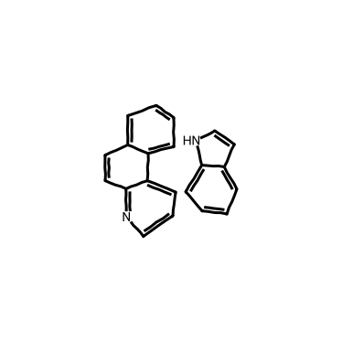 c1ccc2[nH]ccc2c1.c1ccc2c(c1)ccc1ncccc12